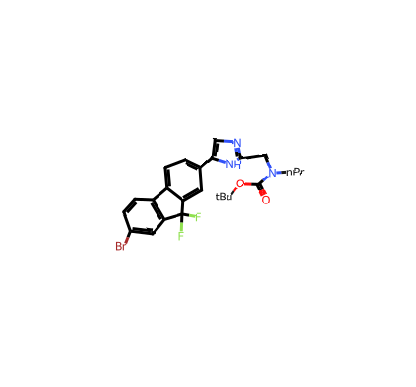 CCCN(Cc1ncc(-c2ccc3c(c2)C(F)(F)c2cc(Br)ccc2-3)[nH]1)C(=O)OC(C)(C)C